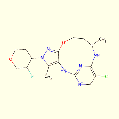 Cc1c2c(nn1C1CCOCC1F)OCCC(C)Nc1nc(ncc1Cl)N2